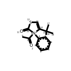 CC(=O)[N+]1(c2ccccc2)C(=O)SC=C1C(C)(C)C